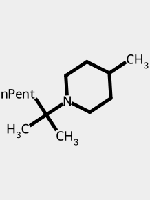 CCCCCC(C)(C)N1CCC(C)CC1